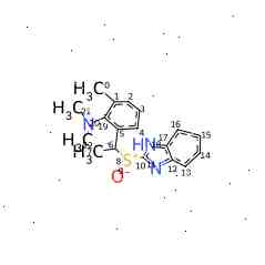 Cc1cccc(C(C)[S+]([O-])c2nc3ccccc3[nH]2)c1N(C)C